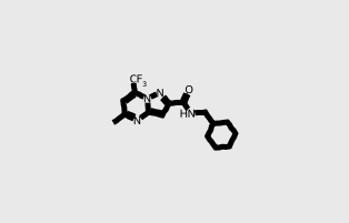 Cc1cc(C(F)(F)F)n2nc(C(=O)NCC3CCCCC3)cc2n1